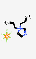 C=CC[N+]1(CC=C)C=CN=C1.F[P-](F)(F)(F)(F)F